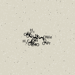 CO/C(C)=C(/Cn1c(F)nc2c(ncn2CCC(COC(=O)C(C)C)OC)/c1=N/Cc1oc(=O)oc1C)OC=O